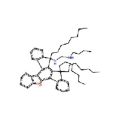 CCCCCCCCC1(NCNCCCC)c2ccccc2-c2c1c1c(c3oc4ccccc4c23)-c2ccccc2C1(CCCCCCC)CCCCCCC